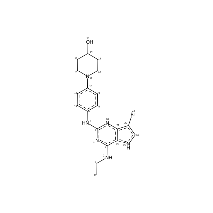 CCNc1nc(Nc2ccc(N3CCC(O)CC3)cc2)nc2c(Br)c[nH]c12